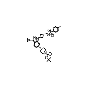 Cc1ccc(S(=O)(=O)OC[C@H]2C[C@H](n3nc(C4CC4)c4ccc(N5CCN(C(=O)OC(C)(C)C)CC5)cc43)C2)cc1